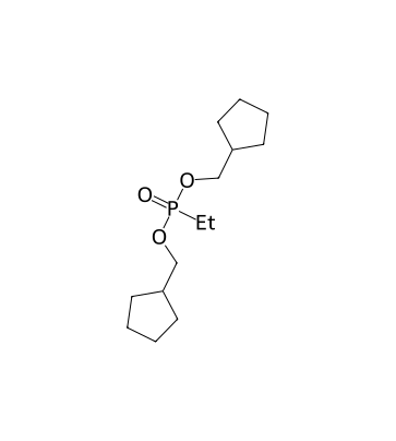 CCP(=O)(OCC1CCCC1)OCC1CCCC1